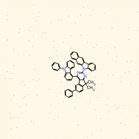 CC1(C)c2ccc(-c3ccccc3)cc2-c2c(-c3cccc4c3c3ccccc3n4-c3ccccc3)nc(-n3c4ccccc4c4cc5ccccc5cc43)nc21